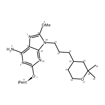 CCC[C@H](C)Oc1nc(N)c2nc(OC)n(CCCC3CCOC(C)(C)C3)c2n1